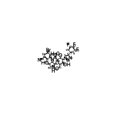 CO[C@@H]1[C@@H](n2cc(-c3cc(F)c(F)c(F)c3)nn2)[C@@H](O)[C@@H](CO)O[C@H]1C(=O)N(c1cc(Br)cc(C#N)c1)[C@H]1CNC[C@@H]1O